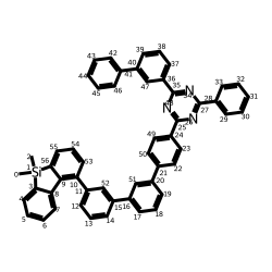 C[Si]1(C)c2ccccc2-c2c(-c3cccc(-c4cccc(-c5ccc(-c6nc(-c7ccccc7)nc(-c7cccc(-c8ccccc8)c7)n6)cc5)c4)c3)cccc21